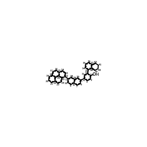 Oc1ccc(-c2ccc3ccc(-c4ccc5ccc6cccc7ccc4c5c67)cc3c2)cc1-c1cccc2c1=CCCC=2